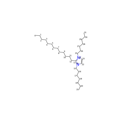 CCCCCCCCCCCCCc1n(CCCCCCC)cc[n+]1CCCCCCC